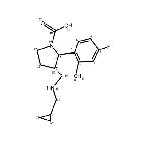 Cc1cc(F)ccc1[C@H]1[C@H](CNCC2CC2)CCN1C(=O)O